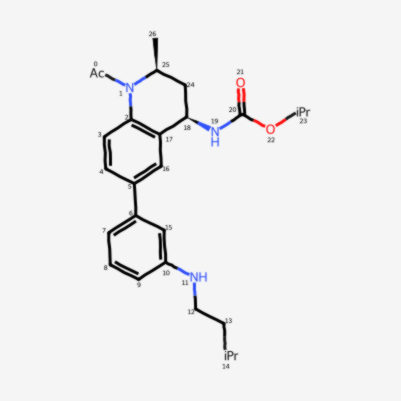 CC(=O)N1c2ccc(-c3cccc(NCCC(C)C)c3)cc2[C@H](NC(=O)OC(C)C)C[C@@H]1C